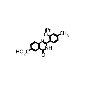 Cc1ccc(-c2nc3ccc(C(=O)O)cc3c(=O)[nH]2)c(OC(C)C)c1